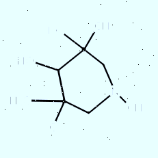 CN1CC(C)(C)C(O)C(C)(C)C1